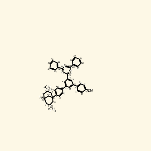 C[C@@H]1C[C@@H]2C[C@H](C)CC(c3ccc(-c4cc(-c5ccc(C#N)cc5)cc(-c5nc(-c6ccccc6)nc(-c6ccccc6)n5)c4)cc3)(C1)C2